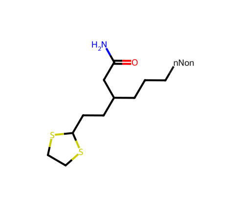 CCCCCCCCCCCCC(CCC1SCCS1)CC(N)=O